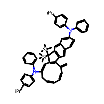 C=C1/C=C\C=C/C/C(N(c2ccccc2)c2ccc(C(C)C)cc2)=C\C2=C1c1cc3ccc(N(c4ccccc4)c4ccc(C(C)C)cc4)cc3cc1C2([Si](C)(C)C)[Si](C)(C)C